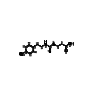 O=C(O)CCSC(=S)NCCc1ccc(Cl)cc1